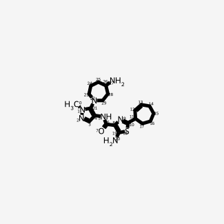 Cn1ncc(NC(=O)c2nc(C3C=CCCCC3)sc2N)c1N1CCCC(N)CC1